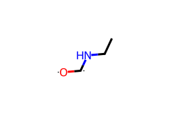 CCN[CH][O]